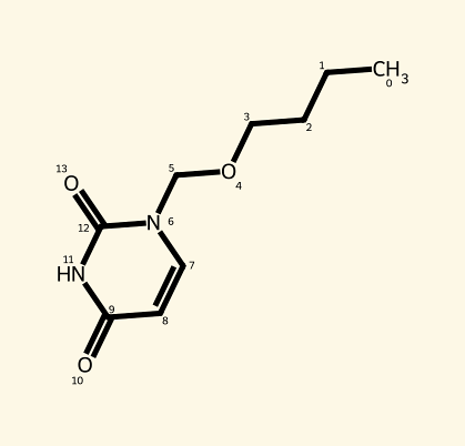 CCCCOCn1ccc(=O)[nH]c1=O